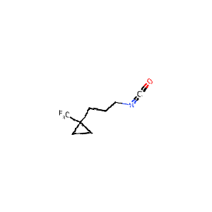 O=C=NCCCC1(C(F)(F)F)CC1